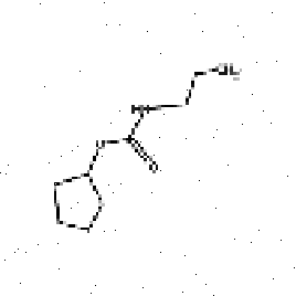 [CH2]CCNC(=O)OC1CCCC1